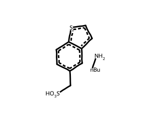 CCCCN.O=S(=O)(O)Cc1ccc2sccc2c1